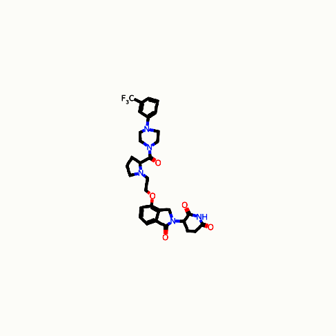 O=C1CCC(N2Cc3c(OCCN4CCCC4C(=O)N4CCN(c5cccc(C(F)(F)F)c5)CC4)cccc3C2=O)C(=O)N1